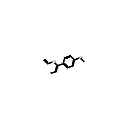 C=CO/C(=C\C)c1ccc(SC)cc1